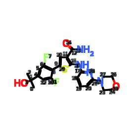 CC(C)(O)c1cc(F)c(-c2cc(C(N)=O)c(Nc3cccc(N4CCOCC4)n3)s2)c(F)c1